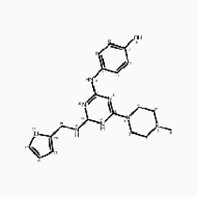 CN1CCN(C2=NC(Nc3ccc(O)cc3)=NC(NCc3ccco3)N2)CC1